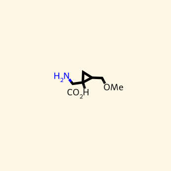 COCC1CC1(CN)C(=O)O